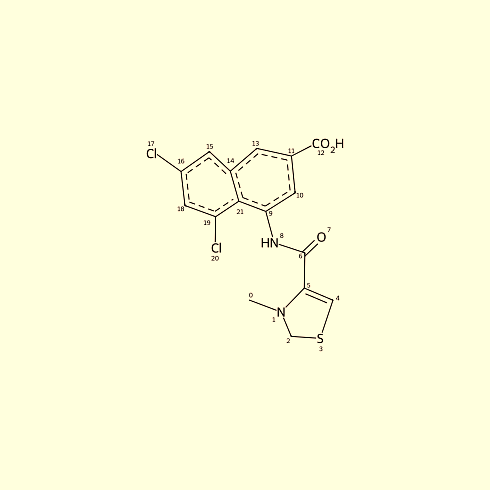 CN1CSC=C1C(=O)Nc1cc(C(=O)O)cc2cc(Cl)cc(Cl)c12